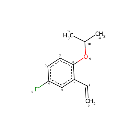 C=[C]c1cc(F)ccc1OC(C)C